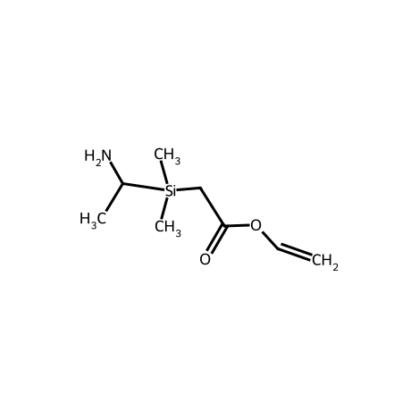 C=COC(=O)C[Si](C)(C)C(C)N